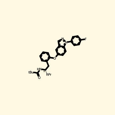 CCC[C@@H](Cc1ccccc1Oc1ccc2c(cnn2-c2ccc(F)cc2)c1)NC(=O)C(C)(C)C